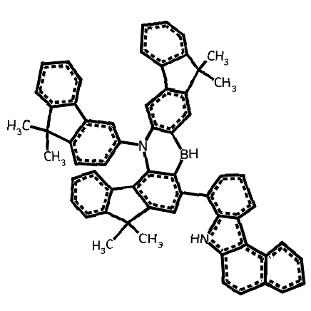 CC1(C)c2ccccc2-c2cc(N3c4cc5c(cc4Bc4c(-c6cccc7c6[nH]c6ccc8ccccc8c67)cc6c(c43)-c3ccccc3C6(C)C)C(C)(C)c3ccccc3-5)ccc21